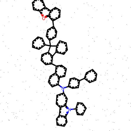 c1ccc(-c2ccc(N(c3ccc4c5ccccc5n(-c5ccccc5)c4c3)c3cccc4c(-c5cccc6c5-c5ccccc5C6(c5ccccc5)c5ccc(-c6cccc7c6oc6ccccc67)cc5)cccc34)cc2)cc1